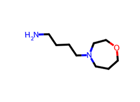 NCCCCN1CCCOCC1